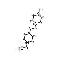 CCN1CCC(CCN2CCN(I)CC2)CC1